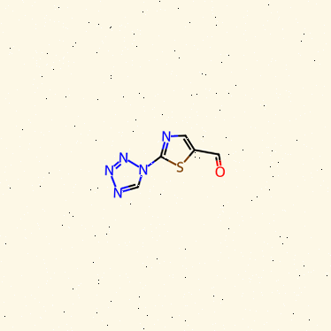 O=Cc1cnc(-n2cnnn2)s1